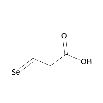 O=C(O)CC=[Se]